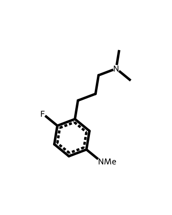 CNc1ccc(F)c(CCCN(C)C)c1